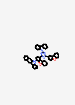 c1ccc2cc3c(cc2c1)c1ccccc1n3-c1ccc(-c2nc(-c3ccc4oc5ccccc5c4c3)nc(-n3c4ccccc4c4ccccc43)n2)c2c1oc1ccccc12